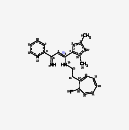 Cc1cc(/C(=C/C(=N)c2ccccn2)NCCC2=CC=CC=CC2F)c(C)s1